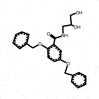 O=C(NCC(O)CO)c1cc(OCc2ccccc2)ccc1OCc1ccccc1